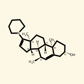 C[C@@H]1C=C2C[C@@H](O)CC[C@]2(C)[C@H]2CC[C@]3(C)C(N4CCCCC4)=CC[C@H]3[C@H]12